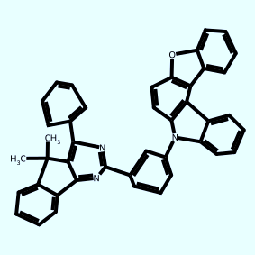 CC1(C)c2ccccc2-c2nc(-c3cccc(-n4c5ccccc5c5c6c(ccc54)oc4ccccc46)c3)nc(-c3ccccc3)c21